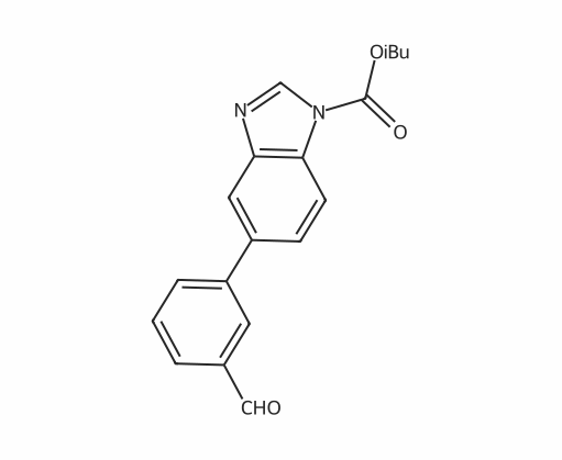 CC(C)COC(=O)n1cnc2cc(-c3cccc(C=O)c3)ccc21